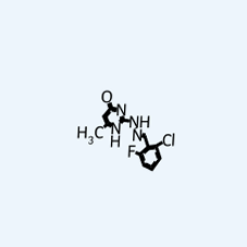 Cc1cc(=O)nc(NN=Cc2c(F)cccc2Cl)[nH]1